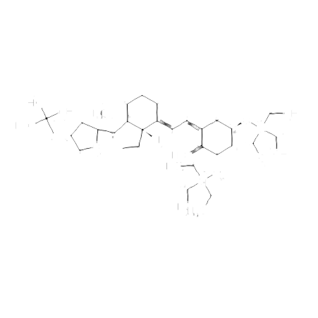 C=C1C(=CC=C2CCC[C@@]3(C)[C@H]2CC[C@@H]3[C@]2(C)C[C@@H](CC(C)(C)O)CO2)C[C@@H](O[Si](CC)(CC)CC)C[C@@H]1O[Si](CC)(CC)CC